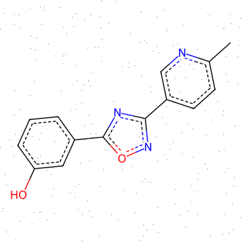 Cc1ccc(-c2noc(-c3cccc(O)c3)n2)cn1